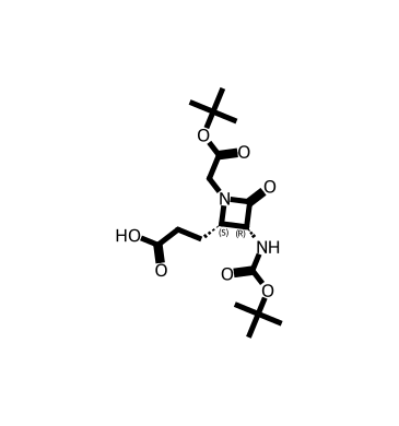 CC(C)(C)OC(=O)CN1C(=O)[C@H](NC(=O)OC(C)(C)C)[C@@H]1CCC(=O)O